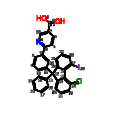 OB(O)c1ccc(-c2cccc(C3(c4ccccc4)c4cccc(Cl)c4-c4c(I)cccc43)c2)nc1